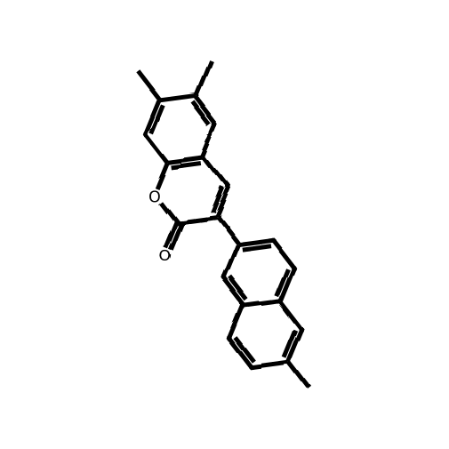 Cc1ccc2cc(-c3cc4cc(C)c(C)cc4oc3=O)ccc2c1